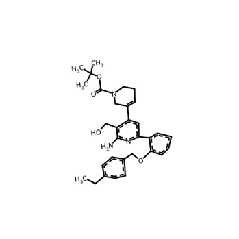 CCc1ccc(COc2ccccc2-c2cc(C3=CCCN(C(=O)OC(C)(C)C)C3)c(CO)c(N)n2)cc1